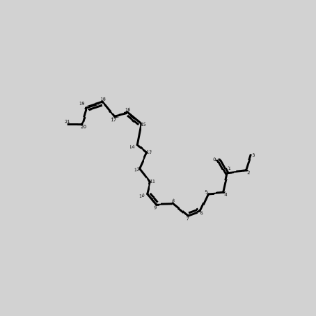 C=C(CC)CC/C=C\C/C=C\CCCC/C=C\C/C=C\CC